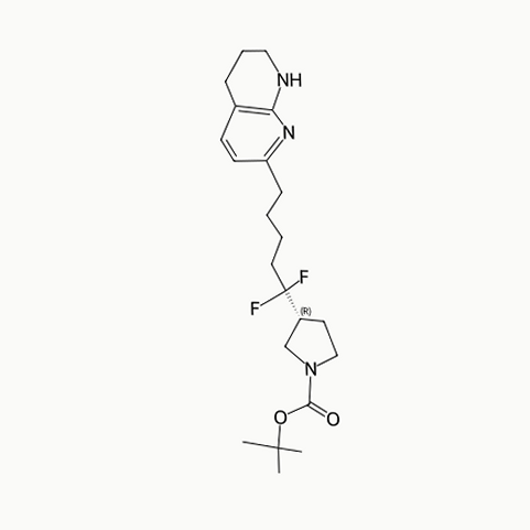 CC(C)(C)OC(=O)N1CC[C@@H](C(F)(F)CCCCc2ccc3c(n2)NCCC3)C1